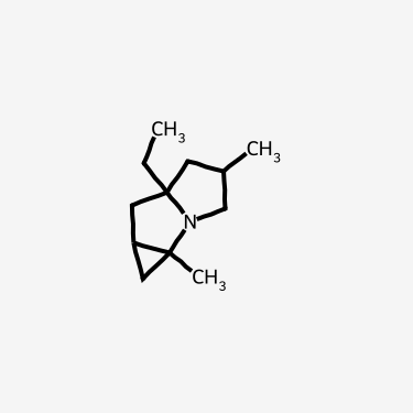 CCC12CC(C)CN1C1(C)CC1C2